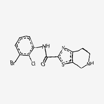 O=C(Nc1cccc(Br)c1Cl)c1nc2c(s1)CNCC2